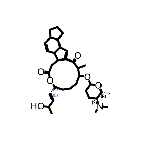 CC(O)/C=C/[C@H]1CCCC(OC2CC[C@H](N(C)C)[C@@H](C)O2)C(C)C(=O)C2=CC3C(C=CC4CCCC43)C2CC(=O)O1